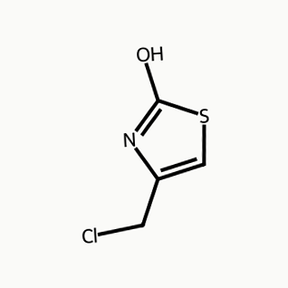 Oc1nc(CCl)cs1